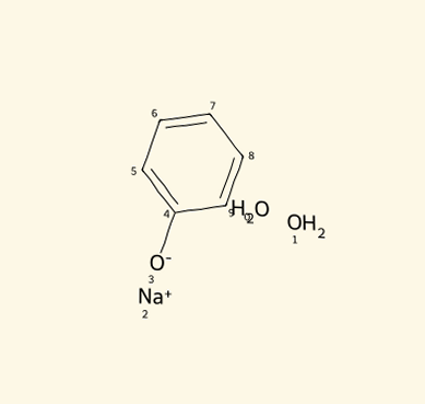 O.O.[Na+].[O-]c1ccccc1